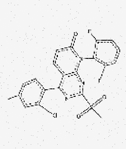 CS(=O)(=O)c1nc(-c2ccc(F)cc2Cl)c2ccc(=O)n(-c3c(F)cccc3F)c2n1